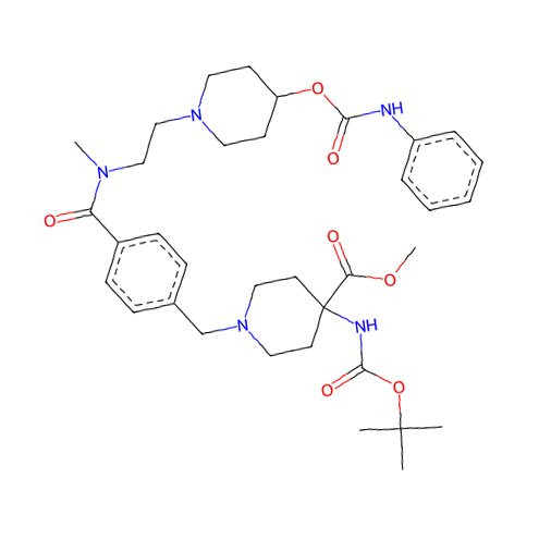 COC(=O)C1(NC(=O)OC(C)(C)C)CCN(Cc2ccc(C(=O)N(C)CCN3CCC(OC(=O)Nc4ccccc4)CC3)cc2)CC1